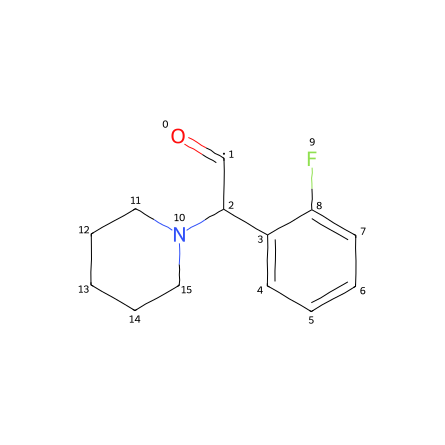 O=[C]C(c1ccccc1F)N1CCCCC1